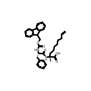 C=CCCCCCC[C@@](C)(NC(=O)[C@H](Cc1ccccc1)NC(=O)OCC1c2ccccc2-c2ccccc21)C(=O)O